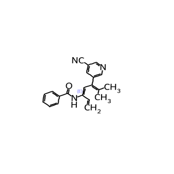 C=C/C(=C\C(=C(C)C)c1cncc(C#N)c1)NC(=O)c1ccccc1